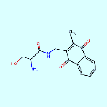 CC1=C(CNC(=O)C(N)CO)C(=O)c2ccccc2C1=O